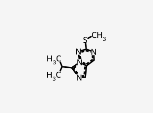 CSc1ncc2cnc(C(C)C)n2n1